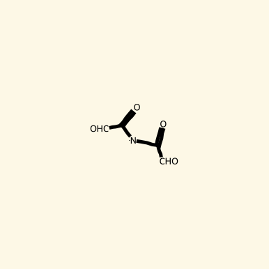 O=CC(=O)[N]C(=O)C=O